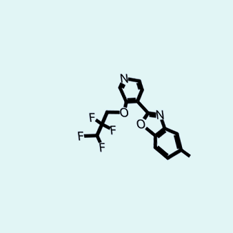 Cc1ccc2oc(-c3ccncc3OCC(F)(F)C(F)F)nc2c1